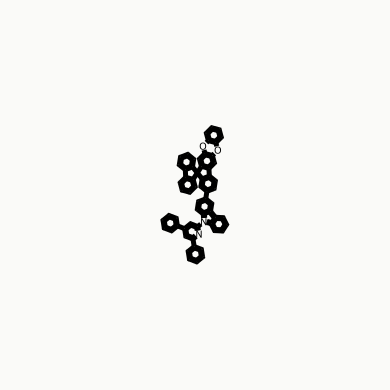 c1ccc(-c2cc(-c3ccccc3)nc(-n3c4ccccc4c4cc(-c5ccc6c(c5)C5(c7ccccc7-c7ccccc75)c5cc7c(cc5-6)Oc5ccccc5O7)ccc43)c2)cc1